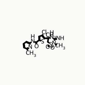 Cc1cccc(NC(=O)c2cc(Cl)c([C@]3(C)CS(=O)(=O)N(C)C(=N)N3)s2)n1